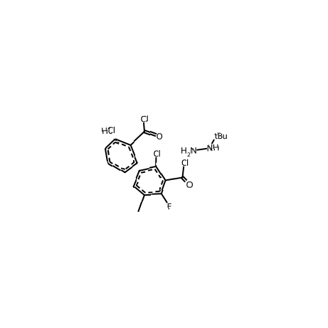 CC(C)(C)NN.Cc1ccc(Cl)c(C(=O)Cl)c1F.Cl.O=C(Cl)c1ccccc1